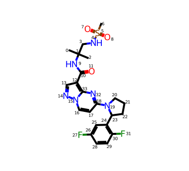 CC(C)(CNS(C)(=O)=O)NC(=O)c1cnn2ccc(N3CCCC3c3cc(F)ccc3F)nc12